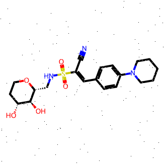 N#C/C(=C\c1ccc(N2CCCCC2)cc1)S(=O)(=O)NC[C@H]1OCC[C@@H](O)[C@@H]1O